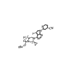 C[C@@H]1CN(c2ncnc3c2c(I)cn3-c2cc(C#N)ccn2)[C@@H](C2CC2)CN1C(=O)OC(C)(C)C